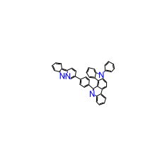 c1ccc(-n2c3ccccc3c3c4c(-c5ccc(-c6ccc7c8ccccc8nn7c6)cc5)nc5ccccc5c4ccc32)cc1